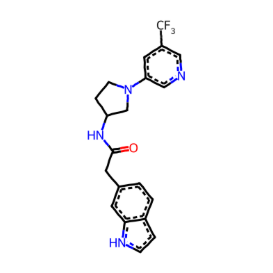 O=C(Cc1ccc2cc[nH]c2c1)NC1CCN(c2cncc(C(F)(F)F)c2)C1